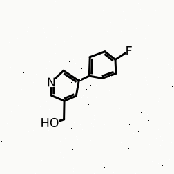 OCc1cncc(-c2ccc(F)cc2)c1